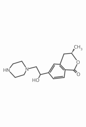 C[C@@H]1Cc2cc(C(O)CN3CCNCC3)ccc2C(=O)O1